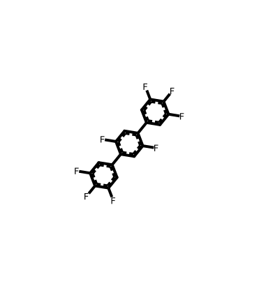 Fc1cc(-c2cc(F)c(F)c(F)c2)c(F)cc1-c1cc(F)c(F)c(F)c1